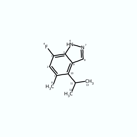 Cc1cc(F)c2[nH]ncc2c1C(C)C